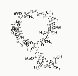 CO[C@@H]1C[C@H](C[C@@H](C)[C@@H]2CC(=O)[C@H](C)/C=C(\C)[C@@H](O)[C@@H](OC)C(=O)[C@H](C)C[C@H](C)/C=C/C=C/C=C(\C)C(OC(C)C)C[C@@H]3CC[C@@H](C)[C@@](O)(O3)C(=O)C(=O)N3CCCC[C@H]3C(=O)O2)CC[C@H]1OC(C)(C)CCOC(C)(C)CCO